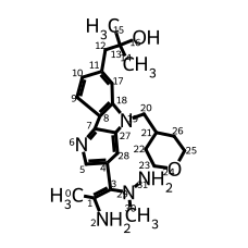 C/C(N)=C(\c1cnc2c3ccc(CC(C)(C)O)cc3n(CC3CCOCC3)c2c1)N(C)N